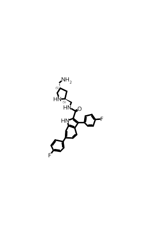 NC[C@H]1CN[C@H](CNC(=O)c2[nH]c3cc(-c4ccc(F)cc4)ccc3c2-c2ccc(F)cc2)C1